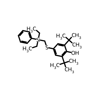 CC[Si](CC)(CSc1cc(C(C)(C)C)c(O)c(C(C)(C)C)c1)c1ccccc1